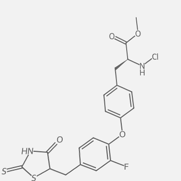 COC(=O)[C@H](Cc1ccc(Oc2ccc(CC3SC(=S)NC3=O)cc2F)cc1)NCl